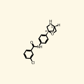 O=C(Nc1ccc([C@]23CN[C@H](CO2)C3)cc1)c1cccc(Cl)c1